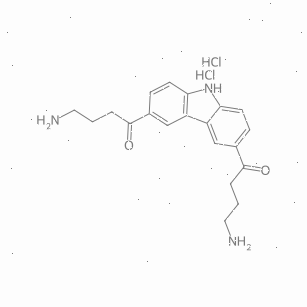 Cl.Cl.NCCCC(=O)c1ccc2[nH]c3ccc(C(=O)CCCN)cc3c2c1